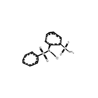 NS(=O)(=O)c1ccccc1N(Cl)S(=O)(=O)c1ccccc1